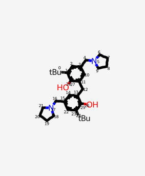 CC(C)(C)c1cc(CN2CCCC2)cc(Cc2cc(CN3CCCC3)cc(C(C)(C)C)c2O)c1O